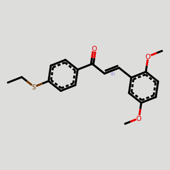 CCSc1ccc(C(=O)/C=C/c2cc(OC)ccc2OC)cc1